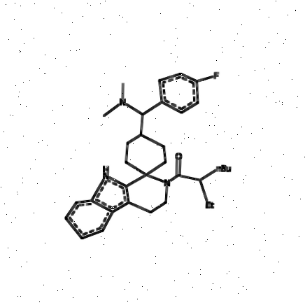 CCCCC(CC)C(=O)N1CCc2c([nH]c3ccccc23)C12CCC(C(c1ccc(F)cc1)N(C)C)CC2